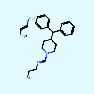 CCCCCCCCCCCCN=CN1CCC(C(c2ccccc2)c2ccccc2)CC1.O=C(O)/C=C/C(=O)O